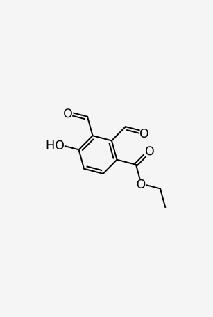 CCOC(=O)c1ccc(O)c(C=O)c1C=O